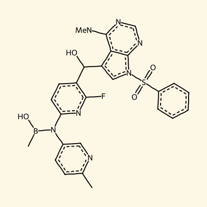 CNc1ncnc2c1c(C(O)c1ccc(N(B(C)O)c3ccc(C)nc3)nc1F)cn2S(=O)(=O)c1ccccc1